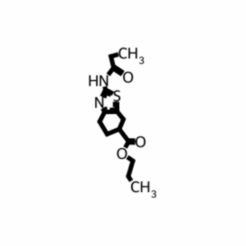 CCCOC(=O)C1CCc2nc(NC(=O)CC)sc2C1